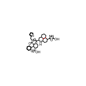 O=C(NCc1cccs1)[C@@H]1C(c2ccccc2Cl)N(C(=O)O)CCN1C(=O)C(CC1CCCCC1)NC1CCC(c2nnc(O)o2)CC1